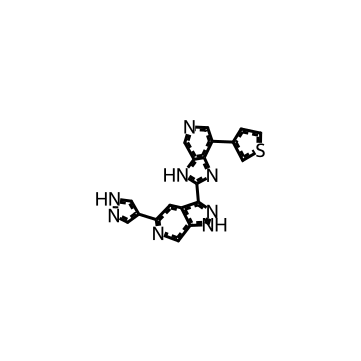 c1cc(-c2cncc3[nH]c(-c4n[nH]c5cnc(-c6cn[nH]c6)cc45)nc23)cs1